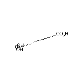 O=C(O)CCCCCCCCCCCCCCCCCCCCCCCP(=O)(O)O